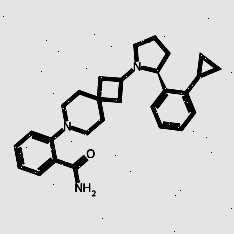 NC(=O)c1ccccc1N1CCC2(CC1)CC(N1CCC[C@H]1c1ccccc1C1CC1)C2